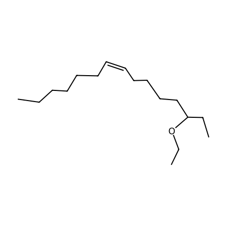 CCCCCC/C=C\CCCCC(CC)OCC